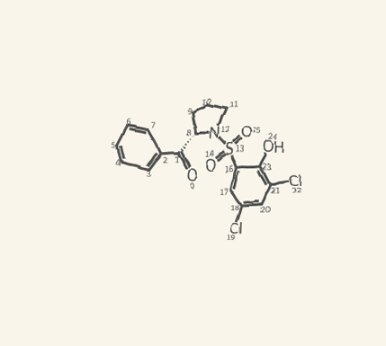 O=C(c1ccccc1)[C@@H]1CCCN1S(=O)(=O)c1cc(Cl)cc(Cl)c1O